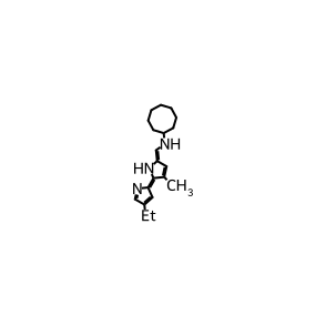 CCC1=CC(=c2[nH]c(=CNC3CCCCCCC3)cc2C)N=C1